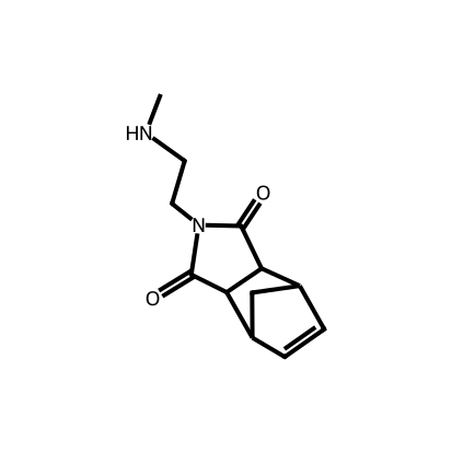 CNCCN1C(=O)C2C3C=CC(C3)C2C1=O